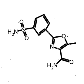 Cc1oc(-c2cccc(S(N)(=O)=O)c2)nc1C(N)=O